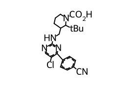 CC(C)(C)C1C(CNc2ncc(Cl)c(-c3ccc(C#N)cc3)n2)CCCN1C(=O)O